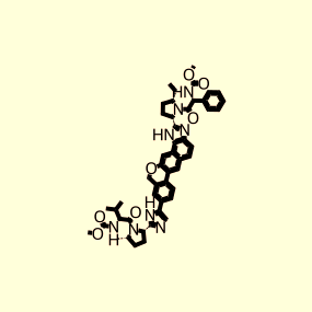 CC[C@H]1CC[C@@H](c2nc3ccc4cc5c(cc4c3[nH]2)OCc2cc(-c3cnc([C@@H]4CC[C@H](C)N4C(=O)[C@@H](NC(=O)OC)C(C)C)[nH]3)ccc2-5)N1C(=O)[C@H](NC(=O)OC)c1ccccc1